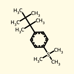 CC(C)(C)C(C)(C)c1ccc(S(C)(C)C)cc1